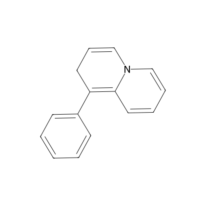 C1=CC2=C(c3ccccc3)CC=CN2C=C1